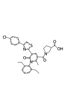 CCc1cccc(CC)c1-n1c(C)c(C(=O)N2CCC(C(=O)O)C2)cc(-c2nc(-c3ccc(Cl)cc3)cs2)c1=O